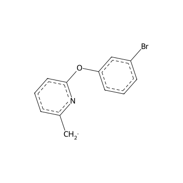 [CH2]c1cccc(Oc2cccc(Br)c2)n1